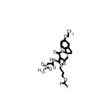 CS(=O)(=O)CC(=O)Nc1c2c(nn1CCCOC(F)F)C[C@]1(CCc3cc(OCC(F)(F)F)ccc31)NC2=O